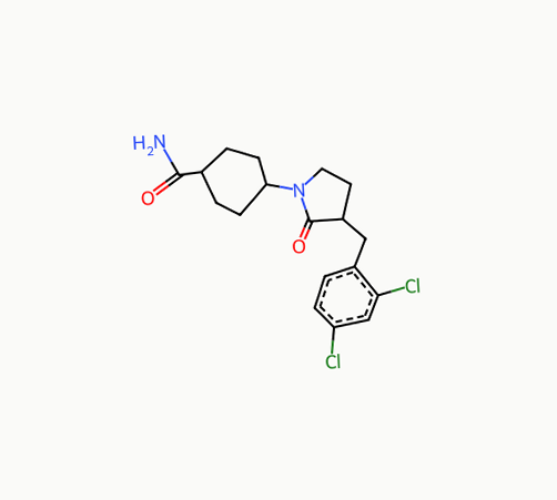 NC(=O)C1CCC(N2CCC(Cc3ccc(Cl)cc3Cl)C2=O)CC1